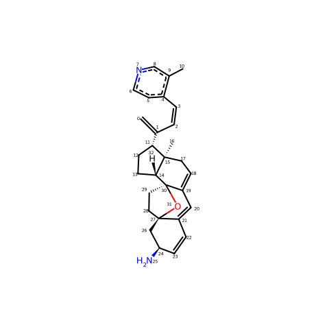 C=C(/C=C\c1ccncc1C)[C@H]1CC[C@@H]2[C@]1(C)CC=C1C=C3C=C[C@@H](N)C[C@]34CC[C@@]12O4